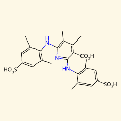 Cc1cc(S(=O)(=O)O)cc(C)c1Nc1nc(Nc2c(C)cc(S(=O)(=O)O)cc2C)c(C(=O)O)c(C)c1C